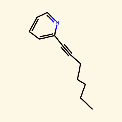 CCCCCC#Cc1ccccn1